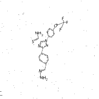 NC=S.NN=Cc1ccc(-c2ncn(-c3ccc(OC(F)(F)F)cc3)n2)cc1